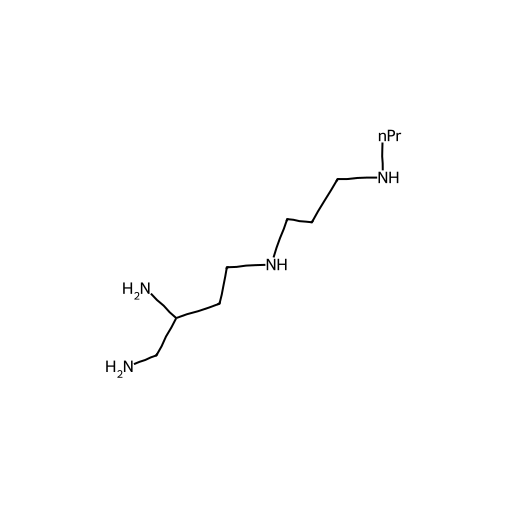 CCCNCCCNCCC(N)CN